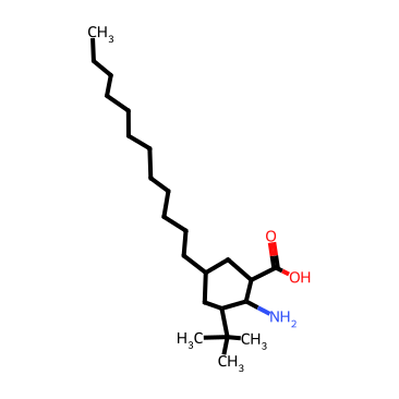 CCCCCCCCCCCCC1CC(C(=O)O)C(N)C(C(C)(C)C)C1